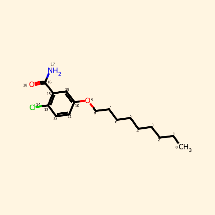 CCCCCCCCCOc1ccc(Cl)c(C(N)=O)c1